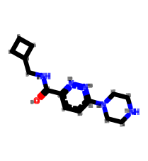 O=C(NCC1CCC1)c1ccc(N2CCNCC2)nn1